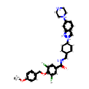 COc1ccc(COc2c(F)cc(C(=O)NCC3CCC(n4cc5ccc(N6CCNCC6)cc5n4)CC3)cc2F)cc1